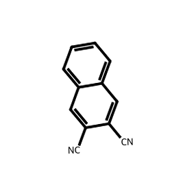 N#Cc1cc2ccccc2cc1C#N